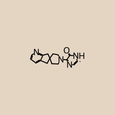 O=c1[nH][c]cnc1N1CCC2(CC1)Cc1cccnc1C2